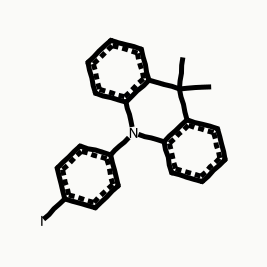 CC1(C)c2ccccc2N(c2ccc(I)cc2)c2ccccc21